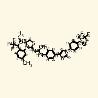 COC(c1ccc(C)cc1N1C(=O)CS/C1=N\C(=O)Nc1ccc(-c2cn(-c3ccc(S(=O)(=O)C(F)(F)F)cc3)cn2)cc1F)C(F)(F)F